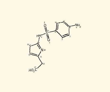 Nc1ccc(S(=O)(=O)Nc2nc(CC(=O)O)cs2)cc1